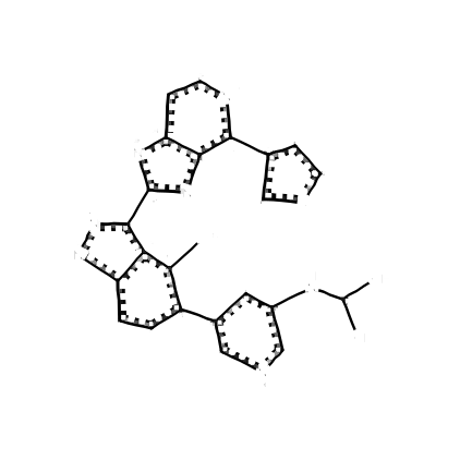 CC(C)Nc1cncc(-c2ccc3[nH]nc(-c4nc5c(-c6ccsc6)nccc5[nH]4)c3c2F)c1